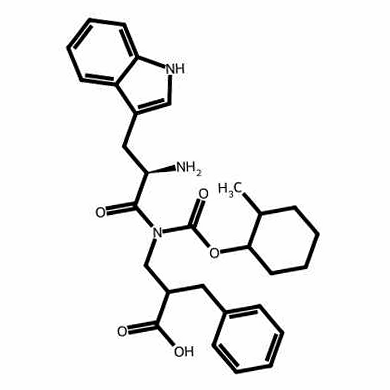 CC1CCCCC1OC(=O)N(CC(Cc1ccccc1)C(=O)O)C(=O)[C@H](N)Cc1c[nH]c2ccccc12